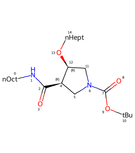 CCCCCCCCNC(=O)[C@@H]1CN(C(=O)OC(C)(C)C)C[C@@H]1OCCCCCCC